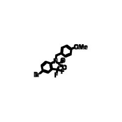 COc1ccc(CN2c3ccc(Br)cc3C(F)(F)S2(=O)=O)cc1